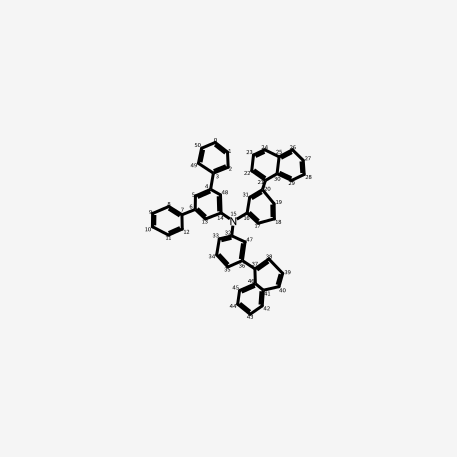 c1ccc(-c2cc(-c3ccccc3)cc(N(c3cccc(-c4cccc5ccccc45)c3)c3cccc(-c4cccc5ccccc45)c3)c2)cc1